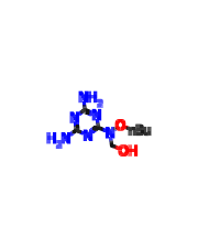 CCCCON(CO)c1nc(N)nc(N)n1